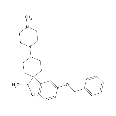 CN1CCN(C2CCC(c3cccc(OCc4ccccc4)c3)(N(C)C)CC2)CC1